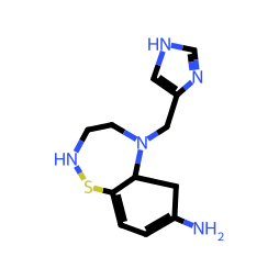 NC1=CC=C2SNCCN(Cc3c[nH]cn3)C2C1